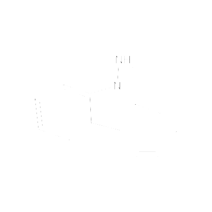 NN1c2ccccc2C2C=CCCC21